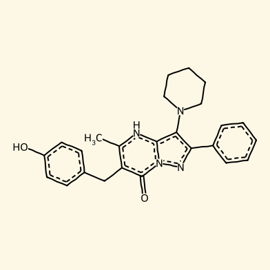 Cc1[nH]c2c(N3CCCCC3)c(-c3ccccc3)nn2c(=O)c1Cc1ccc(O)cc1